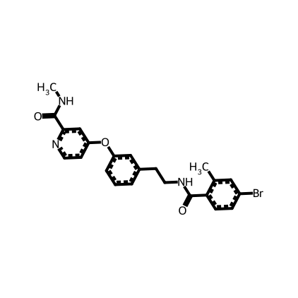 CNC(=O)c1cc(Oc2cccc(CCNC(=O)c3ccc(Br)cc3C)c2)ccn1